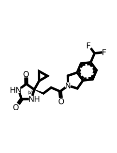 O=C1NC(=O)[C@](CCC(=O)N2Cc3ccc(C(F)F)cc3C2)(C2CC2)N1